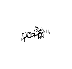 CCS(=O)(=O)c1c(-c2cn3cnc(C(F)(F)F)cc3n2)nn(C)c1N